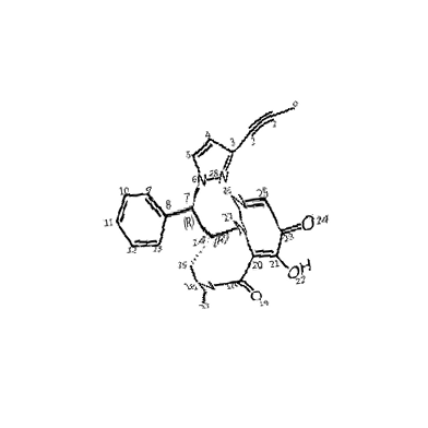 CC#Cc1ccn([C@H](c2ccccc2)[C@H]2CN(C)C(=O)c3c(O)c(=O)cnn32)n1